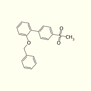 CS(=O)(=O)c1ccc(-c2ccccc2OCc2ccccc2)cc1